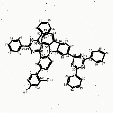 Fc1ccc(-c2ccc(-n3c4ccccc4c4ccc(-c5nc(-c6ccccc6)nc(-c6ccccc6)n5)cc43)c(-c3nc(-c4ccccc4)nc(-c4ccccc4)n3)c2)c(F)c1